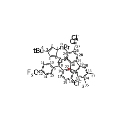 CCCC1C=C(C(C)(C)C)C=[C]1[Zr+2](=[C](c1ccc(C(F)(F)F)cc1)c1ccc(C(F)(F)F)cc1)[c]1c(C)c(C)cc2c1Cc1cc(C)c(C)cc1-2.[Cl-].[Cl-]